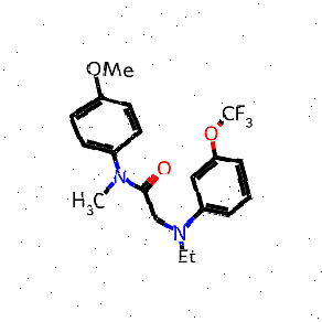 CCN(CC(=O)N(C)c1ccc(OC)cc1)c1cccc(OC(F)(F)F)c1